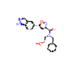 O=C(c1cc(-c2ccc3[nH]ncc3c2)on1)N(CCO)Cc1ccccc1